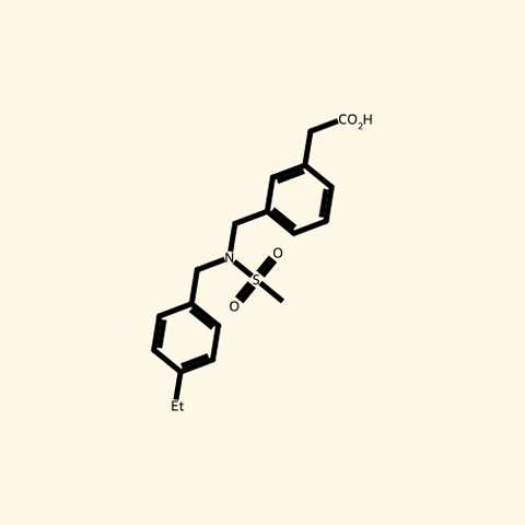 CCc1ccc(CN(Cc2cccc(CC(=O)O)c2)S(C)(=O)=O)cc1